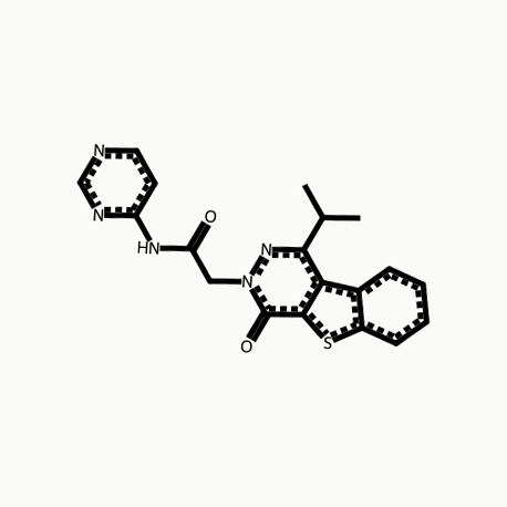 CC(C)c1nn(CC(=O)Nc2ccncn2)c(=O)c2sc3ccccc3c12